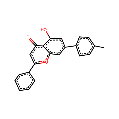 Cc1ccc(-c2cc(O)c3c(=O)cc(-c4ccccc4)oc3c2)cc1